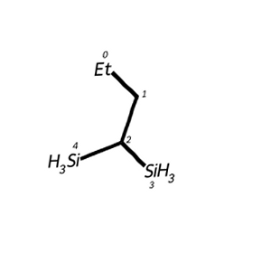 CCCC([SiH3])[SiH3]